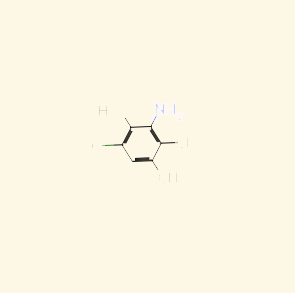 Cc1cc(Cl)c(C)c(N)c1C